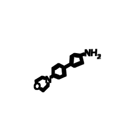 Nc1ccc(-c2ccc(N3CCOCC3)cc2)cc1